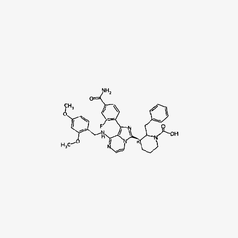 COc1ccc(CNc2nccn3c([C@@H]4CCCN(C(=O)O)C4Cc4ccccc4)nc(-c4ccc(C(N)=O)cc4F)c23)c(OC)c1